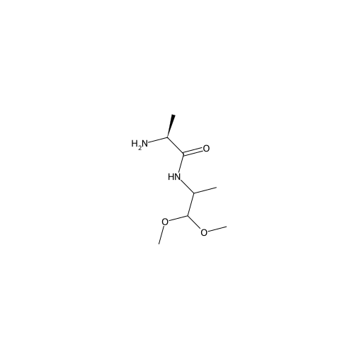 COC(OC)C(C)NC(=O)[C@H](C)N